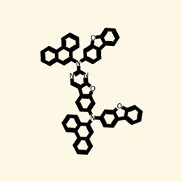 c1ccc2c(c1)cc(N(c1ccc3c(c1)oc1ccccc13)c1ccc3c(c1)oc1nc(N(c4ccc5c(c4)oc4ccccc45)c4cc5ccccc5c5ccccc45)ncc13)c1ccccc12